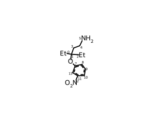 CCC(CC)(CCN)Oc1cccc([N+](=O)[O-])c1